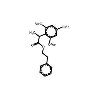 COc1cc(OC)c(C(C)C(=O)OCCc2ccccc2)c(OC)c1